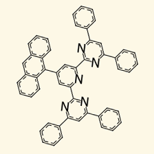 c1ccc(-c2cc(-c3ccccc3)nc(-c3cc(-c4c5ccccc5cc5ccccc45)cc(-c4nc(-c5ccccc5)cc(-c5ccccc5)n4)n3)n2)cc1